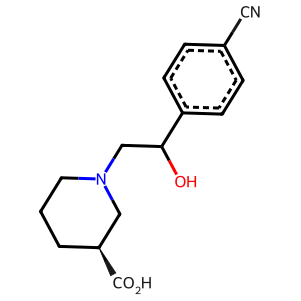 N#Cc1ccc(C(O)CN2CCC[C@H](C(=O)O)C2)cc1